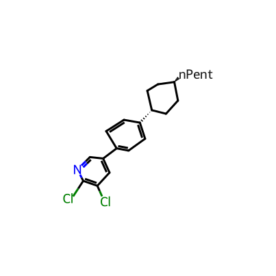 CCCCC[C@H]1CC[C@H](c2ccc(-c3cnc(Cl)c(Cl)c3)cc2)CC1